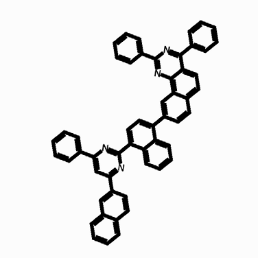 c1ccc(-c2cc(-c3ccc4ccccc4c3)nc(-c3ccc(-c4ccc5ccc6c(-c7ccccc7)nc(-c7ccccc7)nc6c5c4)c4ccccc34)n2)cc1